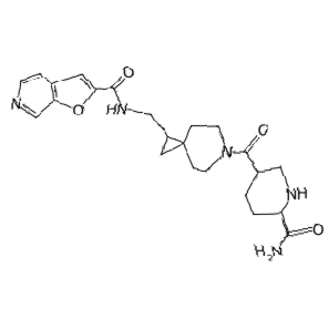 NC(=O)C1CCC(C(=O)N2CCC3(CC2)CC3CNC(=O)c2cc3ccncc3o2)CN1